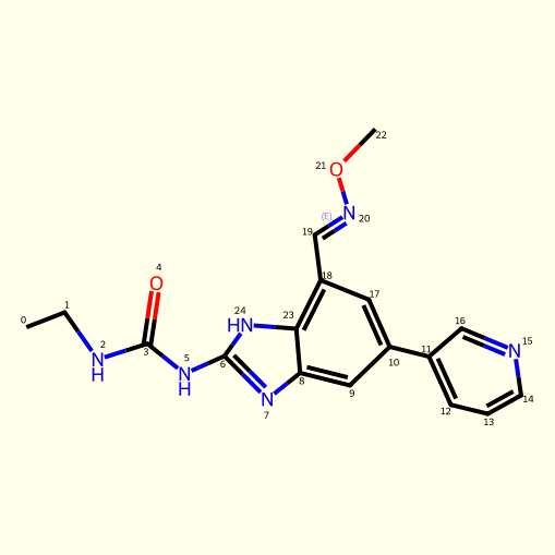 CCNC(=O)Nc1nc2cc(-c3cccnc3)cc(/C=N/OC)c2[nH]1